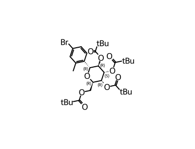 Cc1cc(Br)ccc1[C@H]1O[C@H](COC(=O)C(C)(C)C)[C@@H](OC(=O)C(C)(C)C)[C@@H](OC(=O)C(C)(C)C)[C@@H]1OC(=O)C(C)(C)C